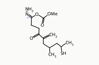 C=C(CC(C)CC(C)S)C(=O)CC/C(=N/N)OC(=O)OC